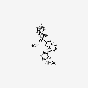 CC(=O)Nc1cccc(-c2cccc3cc(C(=O)N[C@H]4CN5CCC4CC5)sc23)c1.Cl